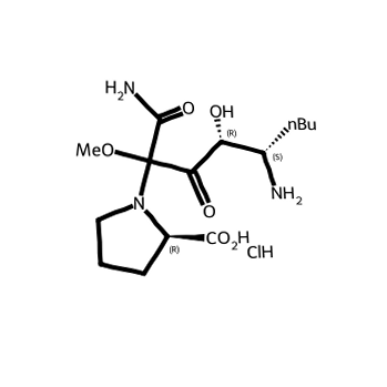 CCCC[C@H](N)[C@@H](O)C(=O)C(OC)(C(N)=O)N1CCC[C@@H]1C(=O)O.Cl